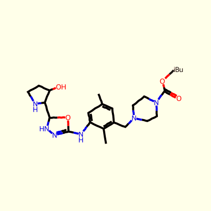 CCC(C)OC(=O)N1CCN(Cc2cc(C)cc(NC3=NNC(C4NCCC4O)O3)c2C)CC1